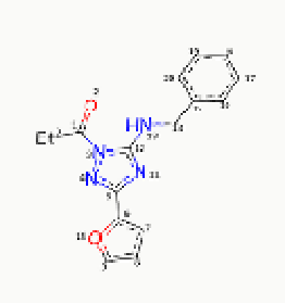 CCC(=O)n1nc(-c2ccco2)nc1NCc1ccccc1